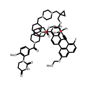 COCOc1cc(-c2ccc3c(N4CC5CCC(C4)N5C(=O)OC(C)(C)C)nc(OCC4(CN5CCN(CC6CCC7(CC6)CCN(C(=O)c6ccc(OC)c(N8CCC(=O)NC8=O)c6)CC7)CC5)CC4)nc3c2F)c2c(C#C[Si](C(C)C)(C(C)C)C(C)C)c(F)ccc2c1